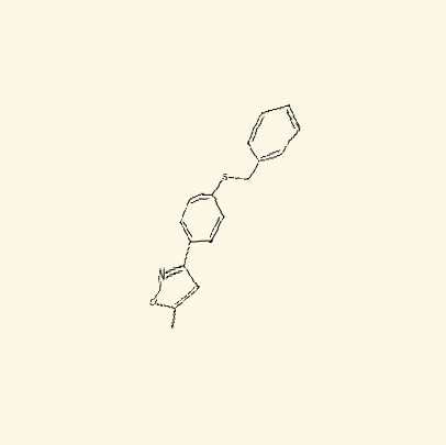 Cc1cc(-c2ccc(SCc3ccccc3)cc2)no1